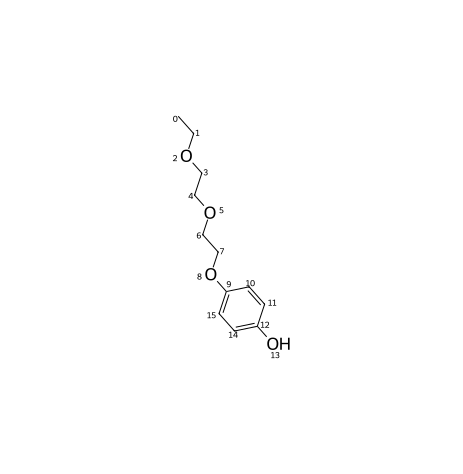 CCOCCOCCOc1ccc(O)cc1